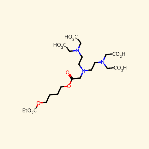 CCOC(=O)OCCCCOC(=O)CN(CCN(CC(=O)O)CC(=O)O)CCN(CC(=O)O)CC(=O)O